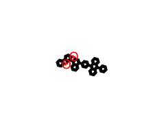 c1ccc(-c2c3ccccc3c(-c3ccc(-c4cc5oc6ccc7c8ccccc8oc7c6c5c5ccccc45)cc3)c3ccccc23)cc1